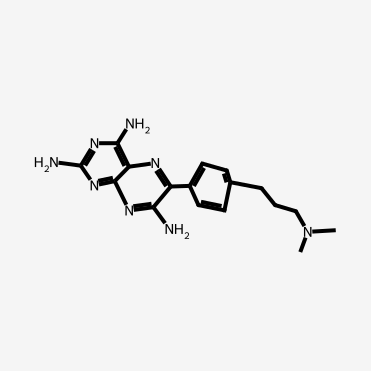 CN(C)CCCc1ccc(-c2nc3c(N)nc(N)nc3nc2N)cc1